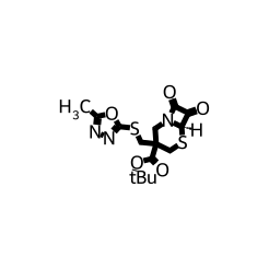 Cc1nnc(SCC2(C(=O)OC(C)(C)C)CS[C@@H]3C(=O)C(=O)N3C2)o1